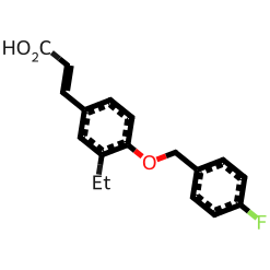 [CH2]Cc1cc(/C=C/C(=O)O)ccc1OCc1ccc(F)cc1